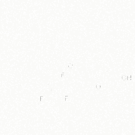 O=C(O)Cc1ccc(-c2ccccc2C(F)(F)F)o1